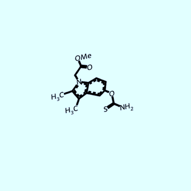 COC(=O)Cn1c(C)c(C)c2cc(OC(N)=S)ccc21